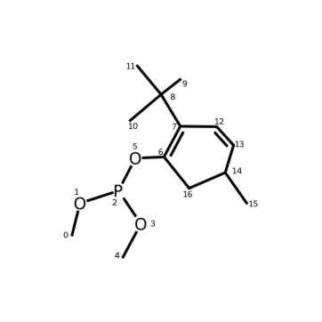 COP(OC)OC1=C(C(C)(C)C)C=CC(C)C1